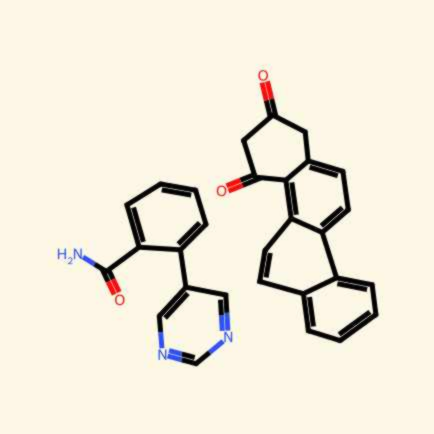 NC(=O)c1ccccc1-c1cncnc1.O=C1CC(=O)c2c(ccc3c2ccc2ccccc23)C1